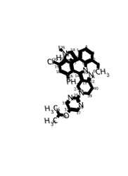 CCc1cccc(CC)c1-n1nc2c(c1-c1c(P)cc(Cl)c3c1ccn3I)CN(c1ncc(OC(C)C)cn1)CC2